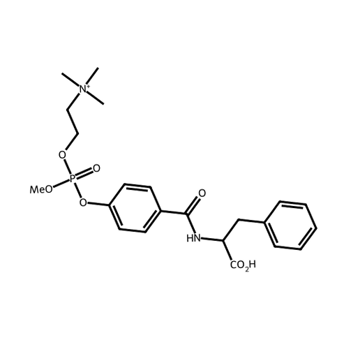 COP(=O)(OCC[N+](C)(C)C)Oc1ccc(C(=O)NC(Cc2ccccc2)C(=O)O)cc1